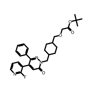 CC(C)(C)OC(=O)COCC1CCC(Cn2nc(-c3ccccc3)c(-c3cccnc3F)cc2=O)CC1